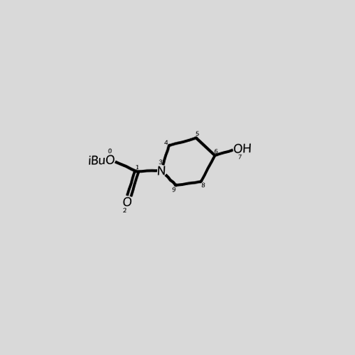 CC(C)COC(=O)N1CCC(O)CC1